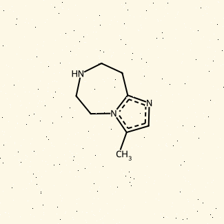 Cc1cnc2n1CCNCC2